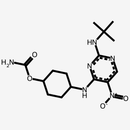 CC(C)(C)Nc1ncc([N+](=O)[O-])c(NC2CCC(OC(N)=O)CC2)n1